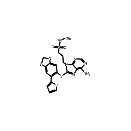 CC(C)(C)NS(=O)(=O)CCCn1c(Sc2cc3c(cc2-c2ccco2)OCO3)nc2c(N)ncnc21